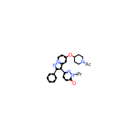 CC(=O)N1CCC(Oc2ccn3nc(-c4ccccc4)c(-c4ccc(=O)n(C(C)C)n4)c3c2)CC1